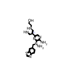 N=C/C(=C\NCCO)c1cnc(N)c(N(N)Cc2ccc3ncsc3c2)n1